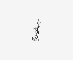 CC(C)(CNc1ccc(-c2ccc3[nH]cnc3c2)nn1)c1ccc(F)cc1